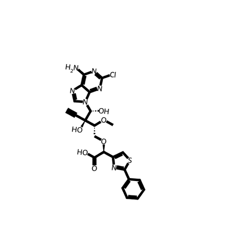 C#C[C@@](O)([C@@H](CO[C@H](C(=O)O)c1csc(-c2ccccc2)n1)OC)[C@@H](O)n1cnc2c(N)nc(Cl)nc21